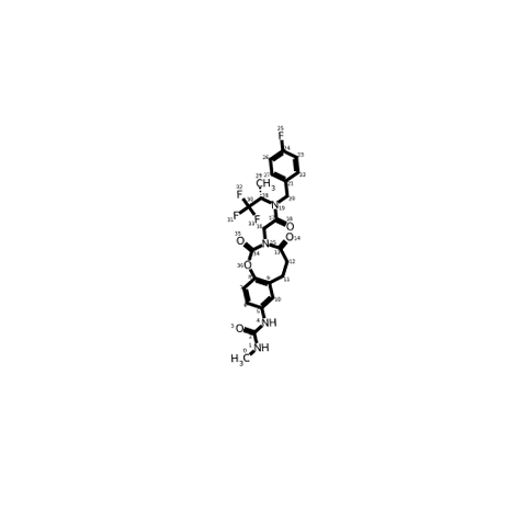 CNC(=O)Nc1ccc2c(c1)CCC(=O)N(CC(=O)N(Cc1ccc(F)cc1)[C@@H](C)C(F)(F)F)C(=O)O2